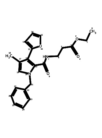 CCOC(=O)CCNC(=O)c1c(-c2ccco2)c(C)cn1Cc1ccccc1